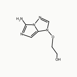 Nc1ncc2n(OCCO)cnn12